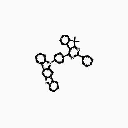 CC1(C)c2ccccc2-c2c(-c3ccc(-n4c5ccccc5c5cc6sc7ccccc7c6cc54)cc3)nc(-c3ccccc3)nc21